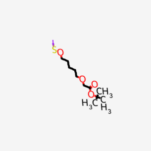 CC(C)(C)OC(=O)COCCCCCOSI